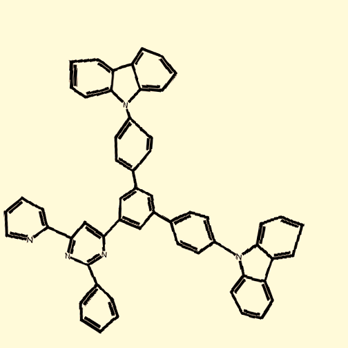 c1ccc(-c2nc(-c3cc(-c4ccc(-n5c6ccccc6c6ccccc65)cc4)cc(-c4ccc(-n5c6ccccc6c6ccccc65)cc4)c3)cc(-c3ccccn3)n2)cc1